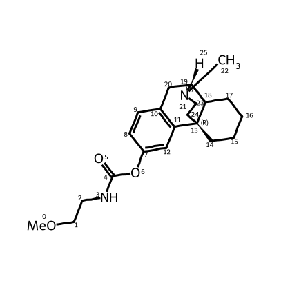 COCCNC(=O)Oc1ccc2c(c1)[C@@]13CCCCC1[C@@H](C2)N(C)CC3